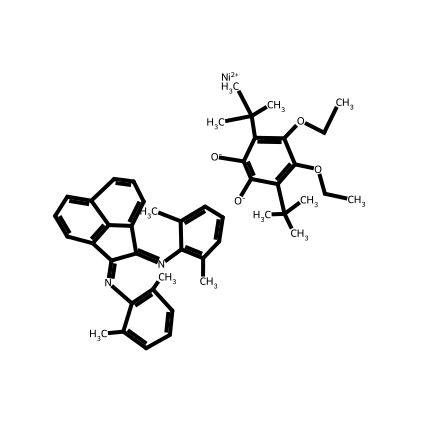 CCOc1c(OCC)c(C(C)(C)C)c([O-])c([O-])c1C(C)(C)C.Cc1cccc(C)c1/N=C1\C(=N\c2c(C)cccc2C)c2cccc3cccc1c23.[Ni+2]